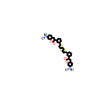 CCN(CC)c1ccc2cc(-c3cccc(-c4cc5sc6cc(-c7cccc(-c8cc9ccc(N(CC)CC)cc9oc8=O)c7)sc6c5s4)c3)c(=O)oc2c1